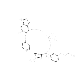 Cn1nc2nc1-c1cc(ccn1)Cc1c(F)cc3[nH]ccc3c1CCSCC(C)(C)CCC[C@]2(C)c1cccc(CCCO)c1